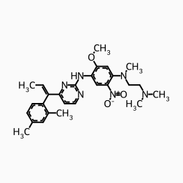 C/C=C(/c1ccnc(Nc2cc([N+](=O)[O-])c(N(C)CCN(C)C)cc2OC)n1)c1ccc(C)cc1C